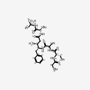 CC[C@H](C)[C@H](NC(=O)C[C@H](N)[C@H](Cc1ccccc1)NC(=O)C(NC(=O)[C@H](CC(C)C)NC(=O)CC(C)(C)C)C(C)C)C(=O)NC(C(=O)O)C(C)C